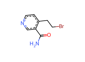 NC(=O)c1cnccc1CCBr